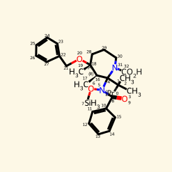 CC(C)C(C)(C)C1(N(O[SiH3])C(=O)c2ccccc2)[C@@H](C)[C@](C)(OCc2ccccc2)CCCN1C(=O)O